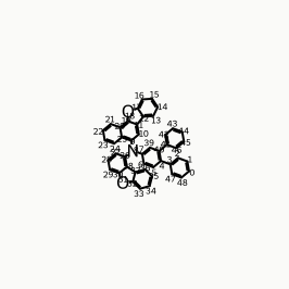 c1ccc(-c2ccc(N(c3cc4c5ccccc5oc4c4ccccc34)c3cccc4oc5ccccc5c34)cc2-c2ccccc2)cc1